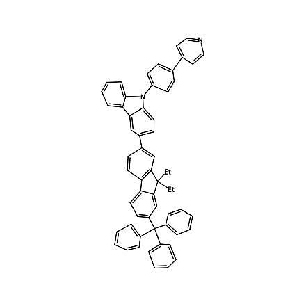 CCC1(CC)c2cc(-c3ccc4c(c3)c3ccccc3n4-c3ccc(-c4ccncc4)cc3)ccc2-c2ccc(C(c3ccccc3)(c3ccccc3)c3ccccc3)cc21